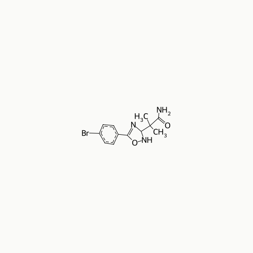 CC(C)(C(N)=O)C1N=C(c2ccc(Br)cc2)ON1